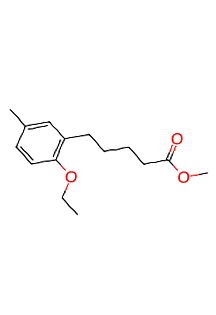 CCOc1ccc(C)cc1CCCCC(=O)OC